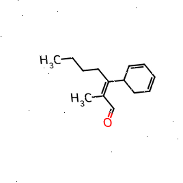 CCCCC(=C(C)C=O)C1C=CC=CC1